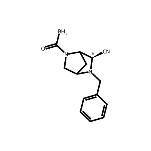 BC(=O)N1CC2CC1[C@@H](C#N)N2Cc1ccccc1